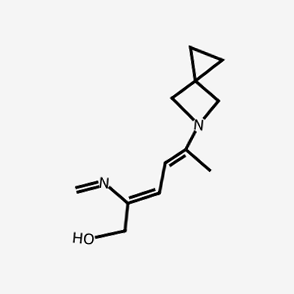 C=N/C(=C\C=C(/C)N1CC2(CC2)C1)CO